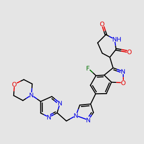 O=C1CCC(c2noc3cc(-c4cnn(Cc5ncc(N6CCOCC6)cn5)c4)cc(F)c23)C(=O)N1